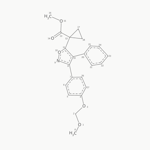 COCOc1ccc(-c2noc(C3(C(=O)OC)CC3)c2-c2ccccc2)cc1